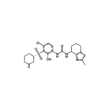 Cc1nc2c(s1)CCCC2NC(=O)Nc1ccc(Cl)c(S(=O)(=O)[C@H]2CCCNC2)c1O